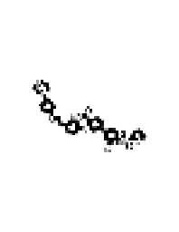 COc1cc(-c2ccc3c(c2)Nc2ccc(CCOc4ccc(N5CCOCC5)cc4)cc2NC3=O)ccc1NS(=O)(=O)c1cccs1